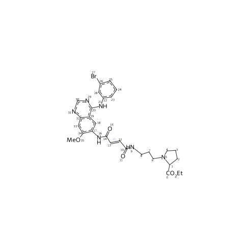 CCOC(=O)C1CCCN1CCCNC(=O)/C=C/C(=O)Nc1cc2c(Nc3cccc(Br)c3)ncnc2cc1OC